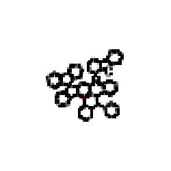 C1=CCC2C(=C1)C=CC(c1ccccc1N(c1ccc3c(c1)C1(c4ccccc4-c4ccccc41)c1ccccc1-3)c1cccc3c1oc1ccccc13)=C2c1ccccc1